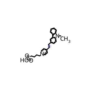 CCn1c2ccccc2c2cc(/C=C/c3cc[n+](CCCCS(=O)(=O)O)cc3)ccc21